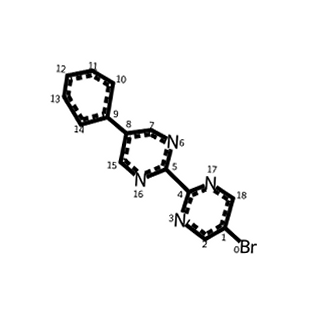 Brc1cnc(-c2ncc(-c3ccccc3)cn2)nc1